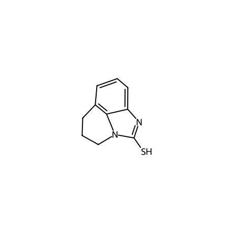 Sc1nc2cccc3c2n1CCC3